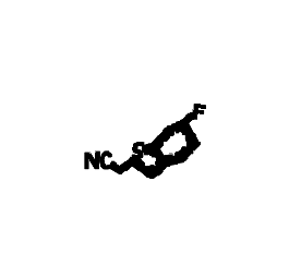 N#CCc1cc2ccc(F)cc2s1